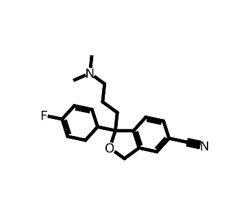 CN(C)CCCC1(C2C=CC(F)=CC2)OCc2cc(C#N)ccc21